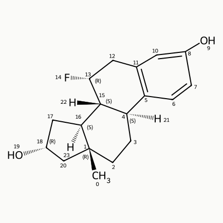 C[C@]12CC[C@@H]3c4ccc(O)cc4C[C@@H](F)[C@H]3[C@@H]1C[C@@H](O)C2